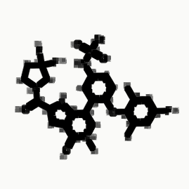 CCS(=O)(=O)Nc1ccc(Oc2c(C)cc(F)cc2C)c(-c2cn(C)c(=O)c3cc(C(=O)N4CCC(F)(F)C4)sc23)c1